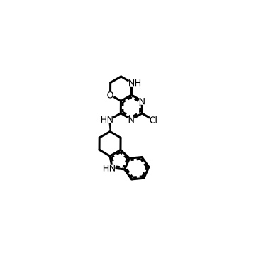 Clc1nc2c(c(N[C@@H]3CCc4[nH]c5ccccc5c4C3)n1)OCCN2